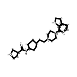 O=C(NC1CCC(CCN2CCN(c3nccc4c3OCC4)CC2)CC1)C1CCOC1